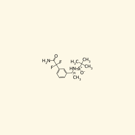 C[C@@H](N[S@+]([O-])C(C)(C)C)c1cccc(C(F)(F)C(N)=O)c1